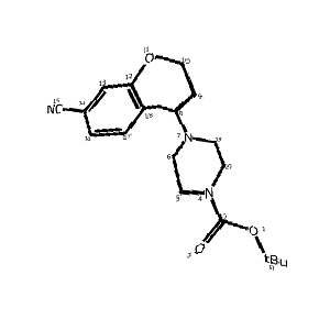 CC(C)(C)OC(=O)N1CCN(C2CCOc3cc(C#N)ccc32)CC1